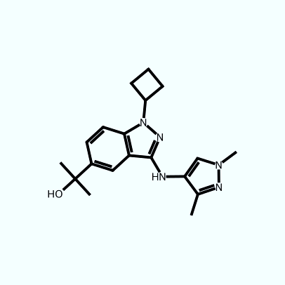 Cc1nn(C)cc1Nc1nn(C2CCC2)c2ccc(C(C)(C)O)cc12